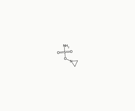 NS(=O)(=O)ON1CC1